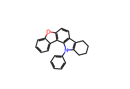 c1ccc(-n2c3c(c4ccc5oc6ccccc6c5c42)CCCC3)cc1